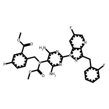 COC(=O)c1cc(F)ccc1CN(C(=O)OC)c1c(N)nc(-n2nc(Cc3ccccc3F)c3ncc(F)cc32)nc1N